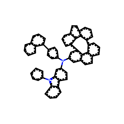 c1ccc(-n2c3ccccc3c3ccc(N(c4ccc(-c5cccc6ccccc56)cc4)c4cc5ccc6cccc7c8cccc9ccc%10cccc(c(c4)c5c67)c%10c98)cc32)cc1